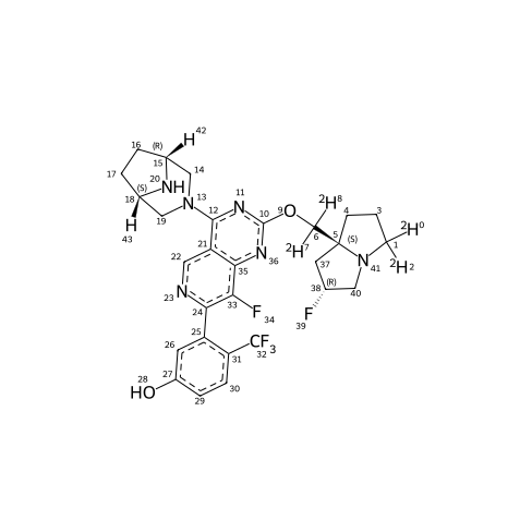 [2H]C1([2H])CC[C@@]2(C([2H])([2H])Oc3nc(N4C[C@H]5CC[C@@H](C4)N5)c4cnc(-c5cc(O)ccc5C(F)(F)F)c(F)c4n3)C[C@@H](F)CN12